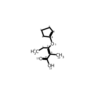 CC/C(OC1=CCCC1)=C(/C)C(=O)O